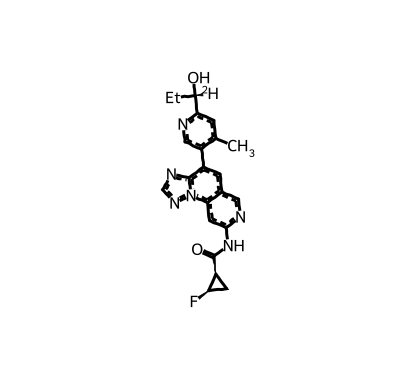 [2H][C@](O)(CC)c1cc(C)c(-c2cc3cnc(NC(=O)[C@H]4C[C@H]4F)cc3n3ncnc23)cn1